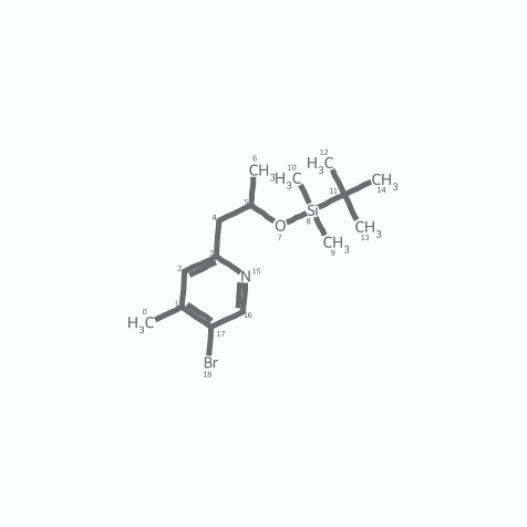 Cc1cc(CC(C)O[Si](C)(C)C(C)(C)C)ncc1Br